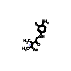 Bc1ccc(NCC(=O)/C(C)=C(/C)C(C)=O)cc1F